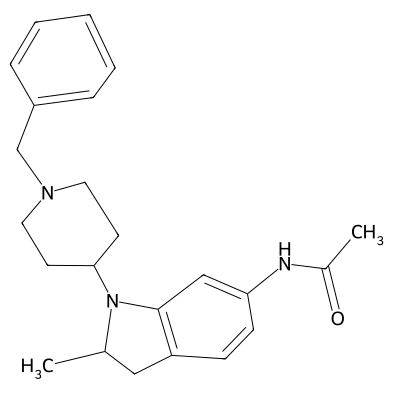 CC(=O)Nc1ccc2c(c1)N(C1CCN(Cc3ccccc3)CC1)C(C)C2